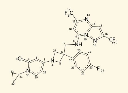 O=c1cc(N2CC(CNc3cc(C(F)(F)F)nc4cc(C(F)(F)F)nn34)(c3ccc(F)cc3)C2)ccn1C1CC1